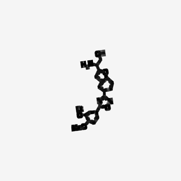 CCOc1cc(-c2nc(-c3ccc4oc(C(N)CO)cc4c3)no2)ccc1OC